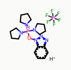 F[P-](F)(F)(F)(F)F.[H+].c1ccc2c(c1)nnn2O[PH](N1CCCC1)(N1CCCC1)N1CCCC1